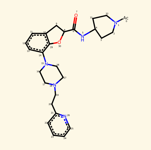 CC(=O)N1CCC(NC(=O)C2Cc3cccc(N4CCN(CCc5ccccn5)CC4)c3O2)CC1